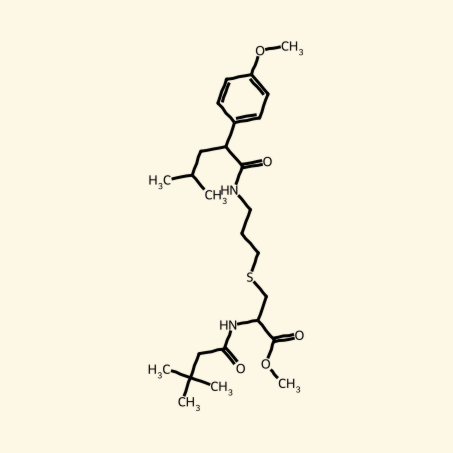 COC(=O)C(CSCCCNC(=O)C(CC(C)C)c1ccc(OC)cc1)NC(=O)CC(C)(C)C